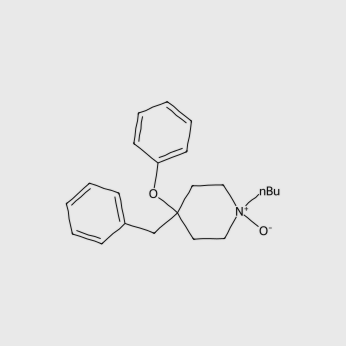 CCCC[N+]1([O-])CCC(Cc2ccccc2)(Oc2ccccc2)CC1